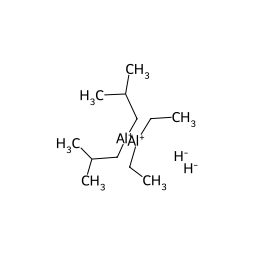 CC(C)[CH2][Al+][CH2]C(C)C.C[CH2][Al+][CH2]C.[H-].[H-]